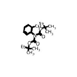 CCC(C)(C)OC(=O)N(C(=O)OC(C)(C)CC)C1C=CC=CC1C